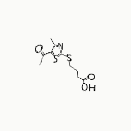 CC(=O)c1sc(SCCCC(=O)O)nc1C